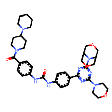 O=C(Nc1ccc(C(=O)N2CCC(N3CCCCC3)CC2)cc1)Nc1ccc(-c2nc(N3CCOCC3)nc(N3C4COCC3COC4)n2)cc1